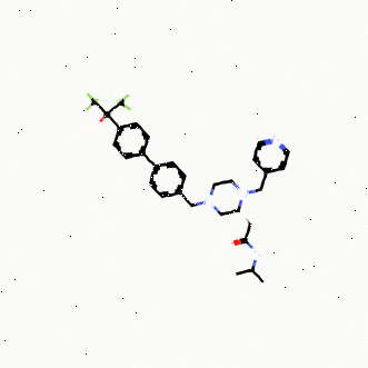 CC(C)NC(=O)C[C@H]1CN(Cc2ccc(-c3ccc(C(O)(C(F)(F)F)C(F)(F)F)cc3)cc2)CCN1Cc1ccncc1